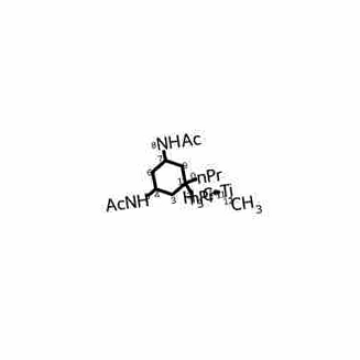 CCCC1(CCC)CC(NC(C)=O)CC(NC(C)=O)C1.[CH3][Ti][CH3]